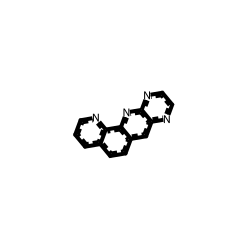 c1cnc2c(c1)ccc1cc3nccnc3nc12